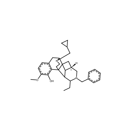 CCC1C2C3[C@@H](CN1Cc1ccccc1)CC31C3Cc4ccc(OC)c(O)c4C21CCN3CC1CC1